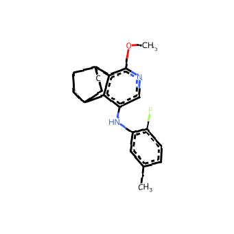 COc1ncc(Nc2cc(C)ccc2F)c2c1C1CCC2CC1